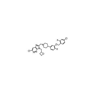 Fc1cc(Cl)ccc1COc1cc(C2CCN(Cc3nc4cc(Cl)nnc4n3CC3CCO3)CC2)ccc1F